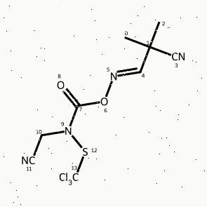 CC(C)(C#N)/C=N/OC(=O)N(CC#N)SC(Cl)(Cl)Cl